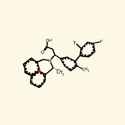 Cc1ccc(C(CC(=O)O)N(Cc2ccccc2)[C@H](C)c2ccccc2)cc1-c1ccc(F)cc1F